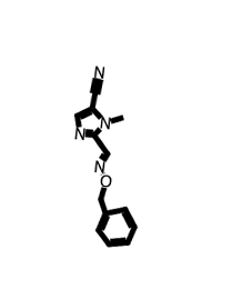 Cn1c(C#N)cnc1C=NOCc1ccccc1